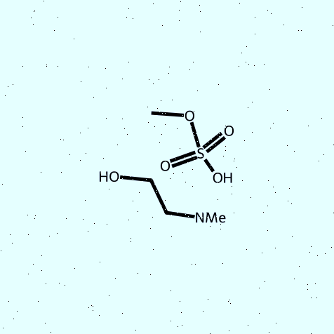 CNCCO.COS(=O)(=O)O